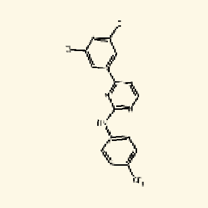 FC(F)(F)c1ccc(Nc2nccc(-c3cc(Cl)cc(Cl)c3)n2)cc1